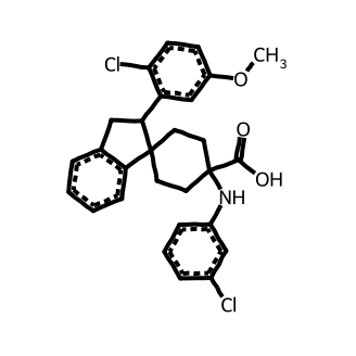 COc1ccc(Cl)c(C2Cc3ccccc3C23CCC(Nc2cccc(Cl)c2)(C(=O)O)CC3)c1